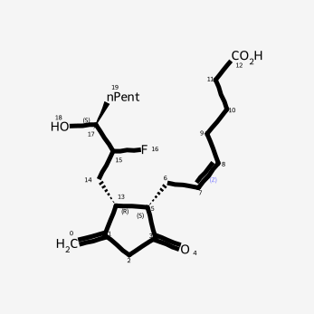 C=C1CC(=O)[C@@H](C/C=C\CCCC(=O)O)[C@H]1CC(F)[C@@H](O)CCCCC